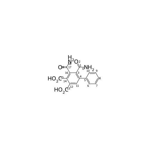 NC(=O)c1c(-c2ccccc2)cc(C(=O)O)c(C(=O)O)c1C(N)=O